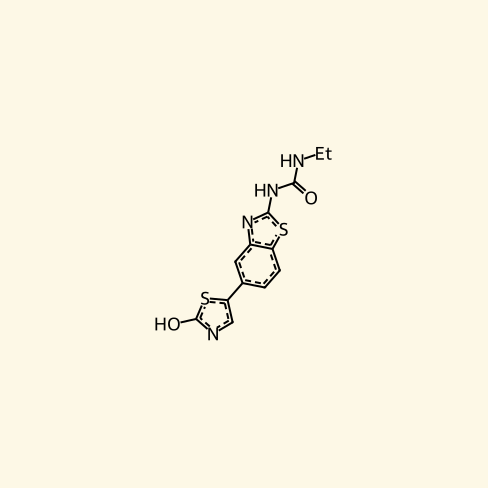 CCNC(=O)Nc1nc2cc(-c3cnc(O)s3)ccc2s1